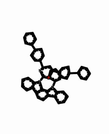 c1ccc(-c2ccc(-c3cc(-c4ccc(-c5ccccc5)cc4)nc(-n4c5ccccc5c5ccc6c7ccccc7n(-c7ccccc7)c6c54)n3)cc2)cc1